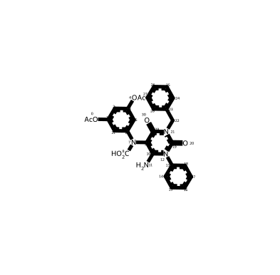 CC(=O)Oc1cc(OC(C)=O)cc(N(C(=O)O)c2c(N)n(-c3ccccc3)c(=O)n(Cc3ccccc3)c2=O)c1